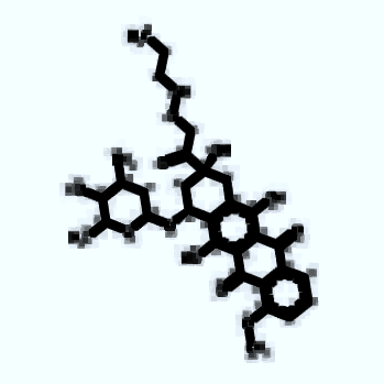 CCCBOCC(=O)[C@]1(O)Cc2c(O)c3c(c(O)c2[C@@H](OC2CC(N)C(O)C(C)O2)C1)C(=O)c1c(OC)cccc1C3=O